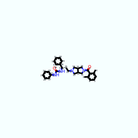 Cc1cccc(C)c1C(=O)N1CC2CN(CC[C@H](NC(=O)Nc3ccccc3)c3ccccc3)CC2C1